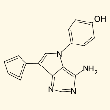 Nc1ncnc2c(C3=C=CC=C3)cn(-c3ccc(O)cc3)c12